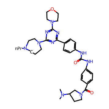 CCCN1CCCN(c2nc(-c3ccc(NC(=O)Nc4ccc(C(=O)N5CCC(N(C)C)C5)cc4)cc3)nc(N3CCOCC3)n2)CC1